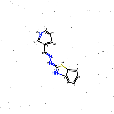 C(=NN=c1[nH]c2ccccc2s1)c1cccnc1